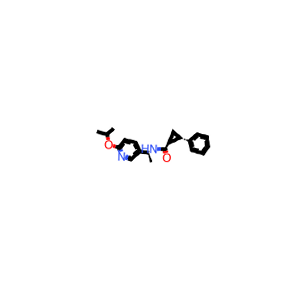 CC(C)Oc1ccc([C@H](C)NC(=O)[C@H]2C[C@@H]2c2ccccc2)cn1